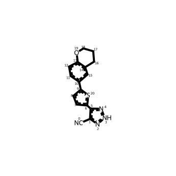 N#Cc1n[nH]nc1-c1ccc(-c2ccc3c(c2)CCCO3)s1